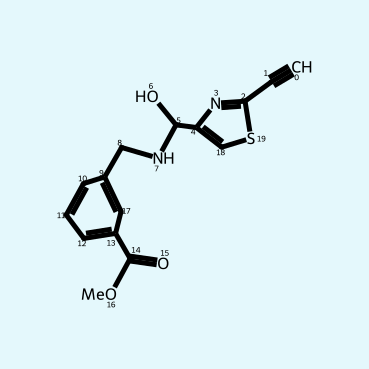 C#Cc1nc(C(O)NCc2cccc(C(=O)OC)c2)cs1